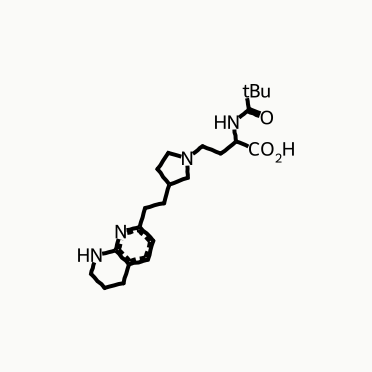 CC(C)(C)C(=O)NC(CCN1CCC(CCc2ccc3c(n2)NCCC3)C1)C(=O)O